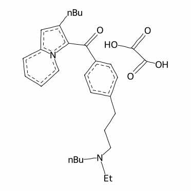 CCCCc1cc2ccccn2c1C(=O)c1ccc(CCCN(CC)CCCC)cc1.O=C(O)C(=O)O